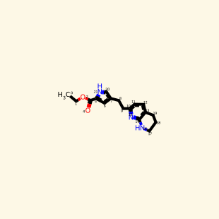 CCOC(=O)c1cc(CCc2ccc3c(n2)NCCC3)c[nH]1